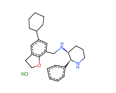 Cl.c1ccc([C@@H]2NCCC[C@@H]2NCc2cc(C3CCCCC3)cc3c2OCC3)cc1